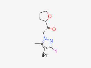 Cc1c(C(C)C)c(I)nn1CC(=O)C1CCCO1